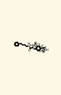 O=C(NCCCCc1ccccc1)[C@H](Cc1ccc(C(F)(F)P(=O)(O)O)cc1)NS(=O)(=O)C(F)(F)F